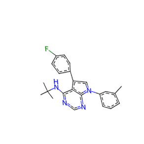 Cc1cccc(-n2cc(-c3ccc(F)cc3)c3c(NC(C)(C)C)ncnc32)c1